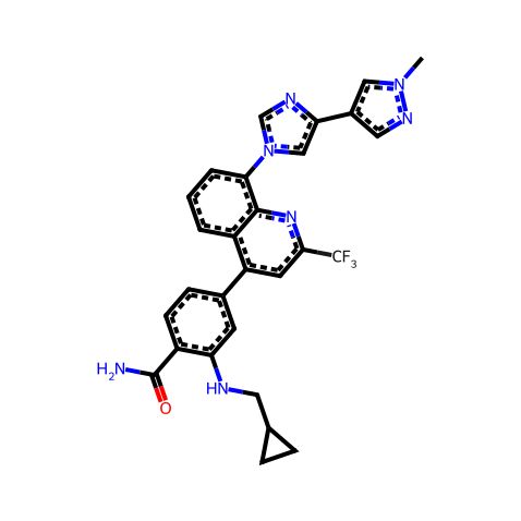 Cn1cc(-c2cn(-c3cccc4c(-c5ccc(C(N)=O)c(NCC6CC6)c5)cc(C(F)(F)F)nc34)cn2)cn1